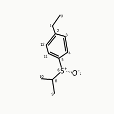 CCc1ccc([S@+]([O-])C(C)C)cc1